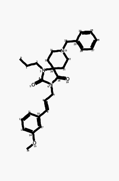 CCCN1C(=O)N(C/C=C/c2cccc(OC)c2)C(=O)C12CCN(Cc1ccccc1)CC2